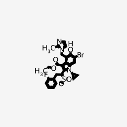 CCOC(=O)c1c(C(Cc2ccccc2F)=S(=O)=O)n(C2CC2)c2cc(Br)c(O)c(Cn3ccnc3C)c12